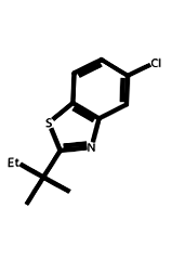 CCC(C)(C)c1nc2cc(Cl)ccc2s1